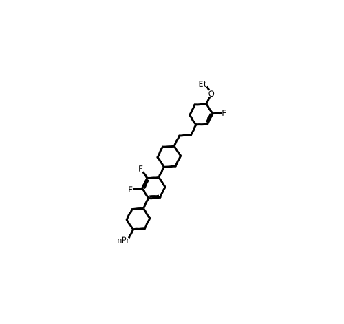 CCCC1CCC(C2=CCC(C3CCC(CCC4C=C(F)C(OCC)CC4)CC3)C(F)=C2F)CC1